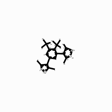 Cc1noc(C)c1-c1cc(-c2c(C)noc2C)c(C(C)(C)C)c(C(C)(C)C)c1